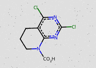 O=C(O)N1CCCc2c(Cl)nc(Cl)nc21